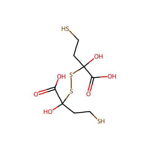 O=C(O)C(O)(CCS)SSC(O)(CCS)C(=O)O